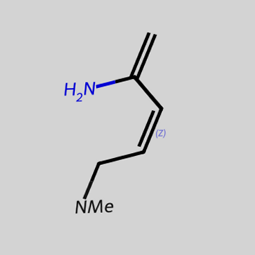 C=C(N)/C=C\CNC